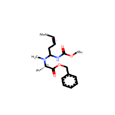 CN/C=C\CC(NC(=O)OC(C)(C)C)N(C)[C@H](C(=O)OCc1ccccc1)C(C)C